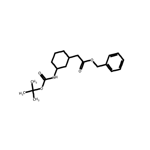 CC(C)(C)OC(=O)NC1CCCC(CC(=O)OCc2ccccc2)C1